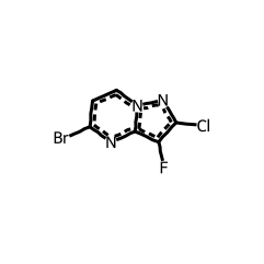 Fc1c(Cl)nn2ccc(Br)nc12